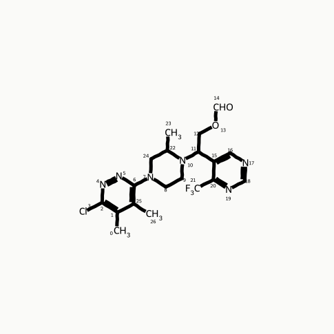 Cc1c(Cl)nnc(N2CCN(C(COC=O)c3cncnc3C(F)(F)F)C(C)C2)c1C